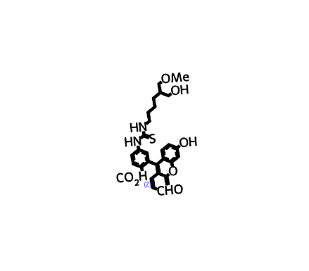 C=C1Oc2cc(O)ccc2C(c2cc(NC(=S)NCCCCC(CO)COC)ccc2C(=O)O)=C1/C=C\C=O